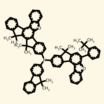 CC(C)(C)c1ccccc1-c1cc2c(c3c1oc1ccccc13)-c1ccc(N(c3ccc4c(c3)C(C)(C)c3ccccc3-4)c3ccc4c(c3)C(C)(C)c3c5c(c6c(oc7ccccc76)c3-4)-c3ccccc3C5(C)C)cc1C2(C)C